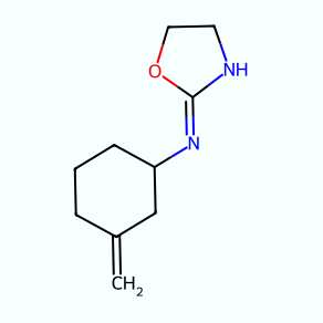 C=C1CCCC(/N=C2/NCCO2)C1